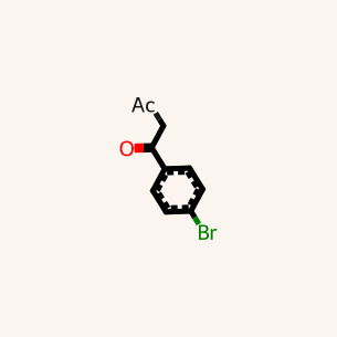 CC(=O)CC(=O)c1ccc(Br)cc1